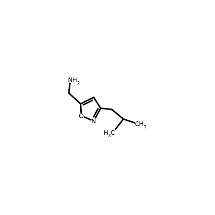 CC(C)Cc1cc(CN)on1